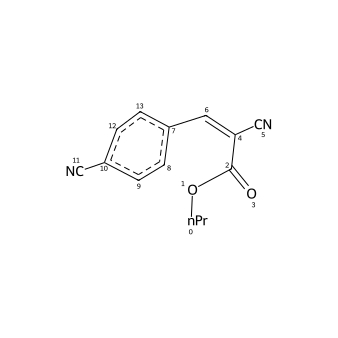 CCCOC(=O)C(C#N)=Cc1ccc(C#N)cc1